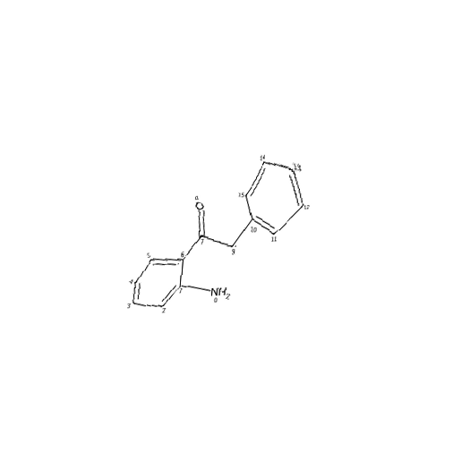 Nc1ccccc1C(=O)[CH]c1ccccc1